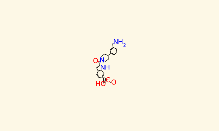 NCc1cccc(C2CCN(C(=O)c3cc4ccc(B(O)OC=O)cc4[nH]3)CC2)c1